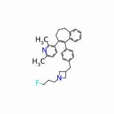 Cc1ccc(C2=C(c3ccc(CC4CN(CCCF)C4)cc3)c3ccccc3CCC2)c(C)n1